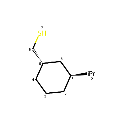 CC(C)[C@H]1CCC[C@H](CS)C1